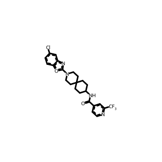 O=C(NC1CCC2(CC1)CCN(c1nc3cc(Cl)ccc3o1)CC2)c1ccnc(C(F)(F)F)c1